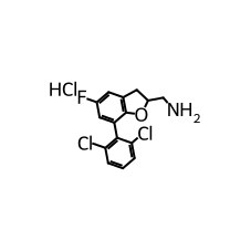 Cl.NCC1Cc2cc(F)cc(-c3c(Cl)cccc3Cl)c2O1